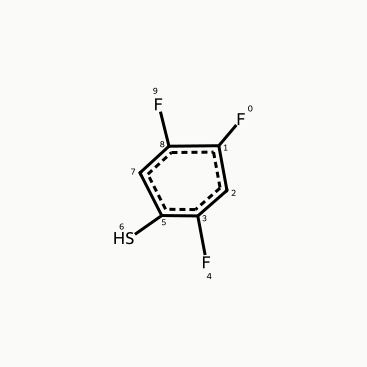 Fc1cc(F)c(S)cc1F